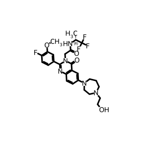 COc1cc(-c2nc3ccc(N4CCCN(CCO)CC4)cc3c(=O)n2CC(=O)N[C@H](C)C(F)(F)F)ccc1F